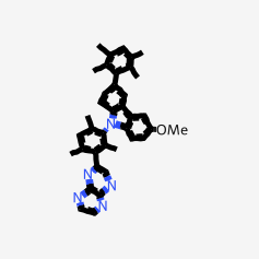 COc1ccc2c(c1)c1cc(-c3c(C)c(C)cc(C)c3C)ccc1n2-c1c(C)cc(C)c(-c2cnc3nccnc3n2)c1C